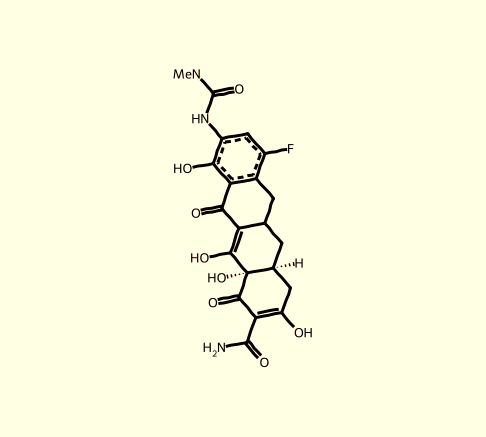 CNC(=O)Nc1cc(F)c2c(c1O)C(=O)C1=C(O)[C@]3(O)C(=O)C(C(N)=O)=C(O)C[C@@H]3CC1C2